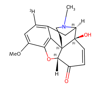 [2H]c1cc(OC)c2c3c1C[C@H]1N(C)CC[C@@]34[C@@H](O2)C(=O)C=C[C@@]14O